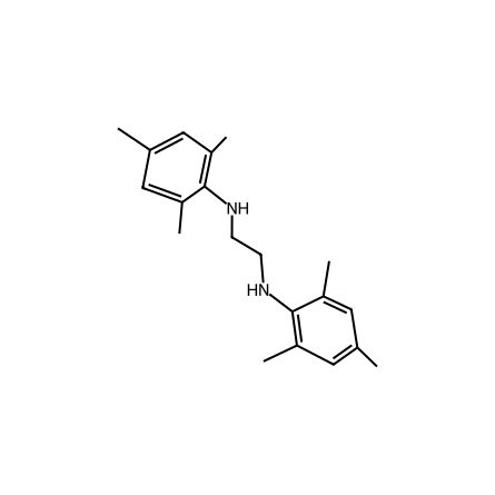 Cc1cc(C)c(NCCNc2c(C)cc(C)cc2C)c(C)c1